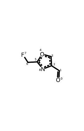 O=Cc1coc(CF)n1